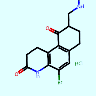 CCCCNCC1CCc2cc(Br)c3c(c2C1=O)CCC(=O)N3.Cl